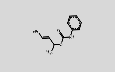 CCC/C=C/C(C)OC(=O)Nc1ccccc1